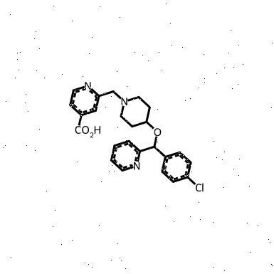 O=C(O)c1ccnc(CN2CCC(OC(c3ccc(Cl)cc3)c3ccccn3)CC2)c1